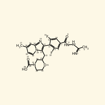 CC(=N)NNC(=O)c1cc(F)c(-c2nc3cc(C)ccn3c2CC2CN(C(=O)O)CCO2)c(F)c1